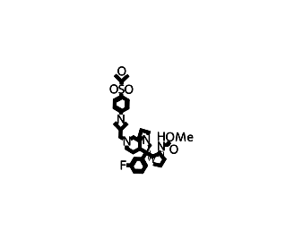 COC(=O)N[C@H]1CCC[C@@H]1[C@](CN1CCC1)(c1cccc(F)c1)C1CCN(CC2CN(c3ccc(S(=O)(=O)C4COC4)cc3)C2)CC1